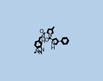 CC1C[C@@H](C(=O)NCc2ccc3c(c2)nnn3C)N(C(=O)[C@H]2C[C@@H](c3ccccc3)CN2)C1